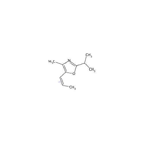 C/C=C\c1oc(C(C)C)nc1C